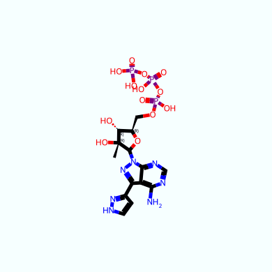 C[C@]1(O)C(n2nc(-c3cc[nH]n3)c3c(N)ncnc32)O[C@H](COP(=O)(O)OP(=O)(O)OP(=O)(O)O)[C@H]1O